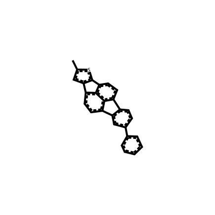 Cc1cc2c(s1)-c1ccc3c4c(ccc-2c14)-c1cc(-c2ccccc2)ccc1-3